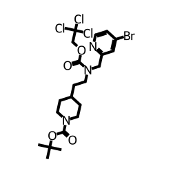 CC(C)(C)OC(=O)N1CCC(CCN(Cc2cc(Br)ccn2)C(=O)OCC(Cl)(Cl)Cl)CC1